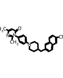 Cc1cc(=O)n(-c2ccc(N3CCC(Cc4ccc5cc(C#N)ccc5c4)CC3)cc2)c(C)n1